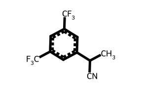 CC(C#N)c1cc(C(F)(F)F)cc(C(F)(F)F)c1